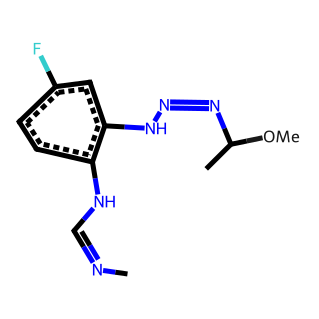 C/N=C\Nc1ccc(F)cc1N/N=N\C(C)OC